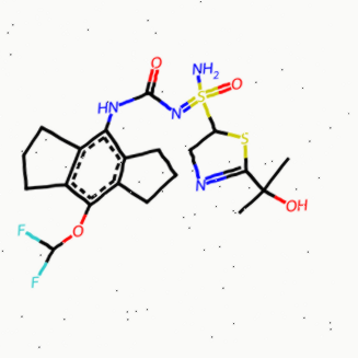 CC(C)(O)C1=NCC(S(N)(=O)=NC(=O)Nc2c3c(c(OC(F)F)c4c2CCC4)CCC3)S1